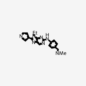 CCn1c(-c2ccncc2)nc2cnc(Nc3ccc(CNC)cc3)nc21